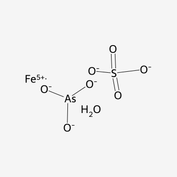 O.O=S(=O)([O-])[O-].[Fe+5].[O-][As]([O-])[O-]